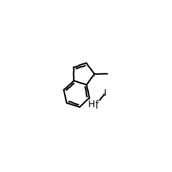 C[C]1C=Cc2ccccc21.[I][Hf]